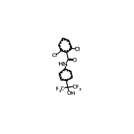 O=C(Nc1ccc(C(O)(C(F)(F)F)C(F)(F)F)cc1)c1c(Cl)cccc1Cl